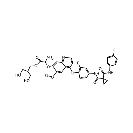 CCOc1cc2c(Oc3ccc(NC(=O)C4(C(=O)Nc5ccc(F)cc5)CC4)cc3F)ccnc2cc1OC(N)C(=O)OCC(CO)CO